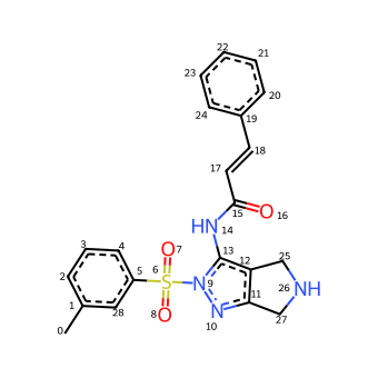 Cc1cccc(S(=O)(=O)n2nc3c(c2NC(=O)/C=C/c2ccccc2)CNC3)c1